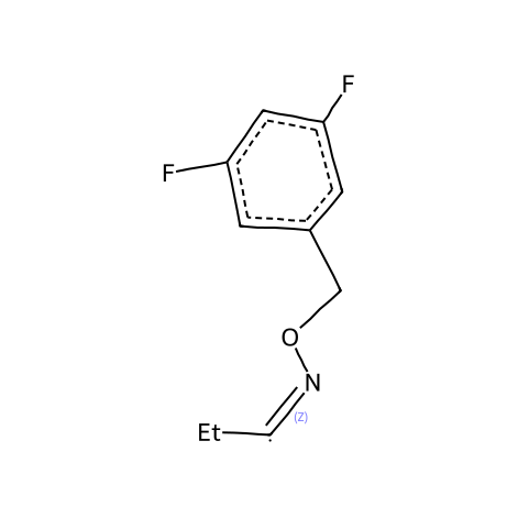 CC/[C]=N\OCc1cc(F)cc(F)c1